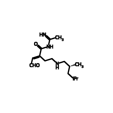 CC(=N)NC(=O)/C(=C/C=O)CCNC[C@H](C)CC(C)C